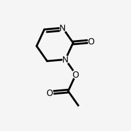 CC(=O)ON1CCC=NC1=O